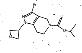 CC(C)OC(=O)N1CCc2c(c(Br)nn2C2COC2)C1